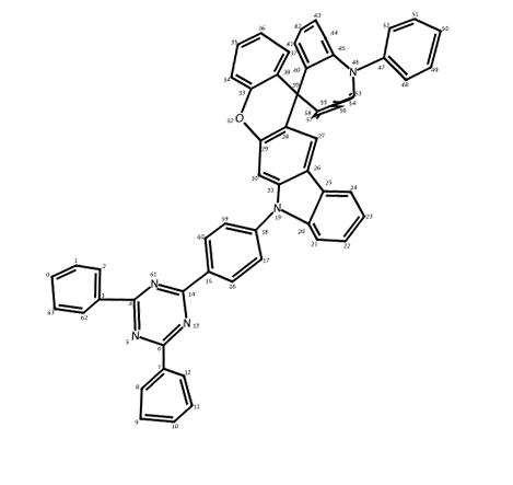 c1ccc(-c2nc(-c3ccccc3)nc(-c3ccc(-n4c5ccccc5c5cc6c(cc54)Oc4ccccc4C64c5ccccc5N(c5ccccc5)c5ccccc54)cc3)n2)cc1